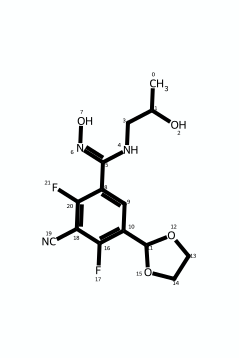 CC(O)CNC(=NO)c1cc(C2OCCO2)c(F)c(C#N)c1F